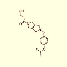 O=C(CCO)N1CC2=C(CN(Sc3ccc(OC(F)F)cc3)C2)C1